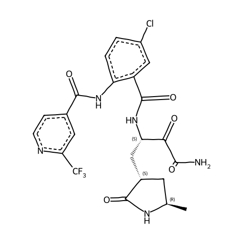 C[C@@H]1C[C@@H](C[C@H](NC(=O)c2cc(Cl)ccc2NC(=O)c2ccnc(C(F)(F)F)c2)C(=O)C(N)=O)C(=O)N1